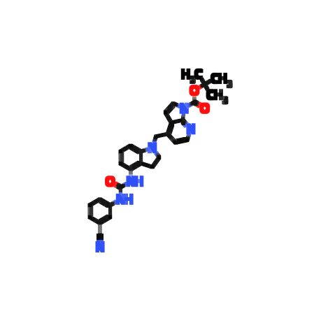 CC(C)(C)OC(=O)n1ccc2c(CN3CCc4c(NC(=O)Nc5cccc(C#N)c5)cccc43)ccnc21